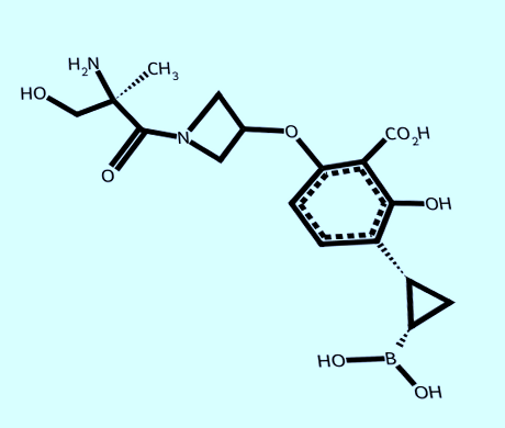 C[C@@](N)(CO)C(=O)N1CC(Oc2ccc([C@@H]3C[C@@H]3B(O)O)c(O)c2C(=O)O)C1